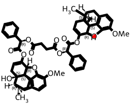 COc1ccc2c3c1O[C@H]1C(OC(=O)[C@H](OC(=O)CCC(=O)O[C@@H](C(=O)OC4=CC[C@@]5(O)[C@H]6Cc7ccc(OC)c8c7[C@@]5(CCN6C)[C@H]4O8)c4ccccc4)c4ccccc4)=CC[C@@]4(O)[C@@H](C2)N(C)CC[C@]314